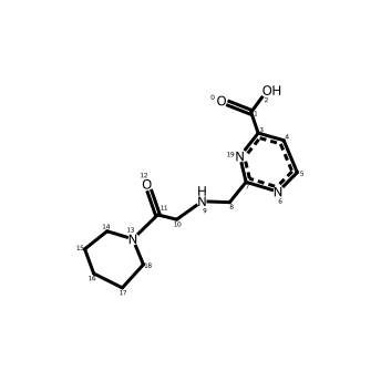 O=C(O)c1ccnc(CNCC(=O)N2CCCCC2)n1